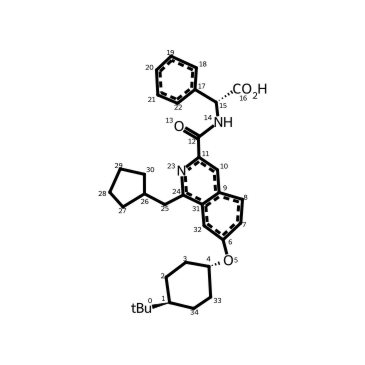 CC(C)(C)[C@H]1CC[C@H](Oc2ccc3cc(C(=O)N[C@@H](C(=O)O)c4ccccc4)nc(CC4CCCC4)c3c2)CC1